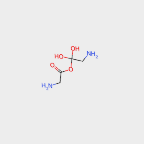 NCC(=O)OC(O)(O)CN